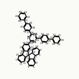 C1=CC2c3ccccc3C3(c4ccccc4-c4ccc(-c5nc(-c6ccc(-c7ccccc7)cc6)nc(-c6ccc(-c7ccccc7)cc6)n5)cc43)C2C=C1